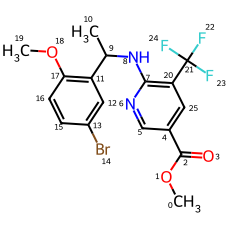 COC(=O)c1cnc(NC(C)c2cc(Br)ccc2OC)c(C(F)(F)F)c1